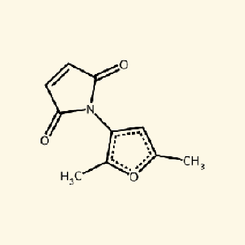 Cc1cc(N2C(=O)C=CC2=O)c(C)o1